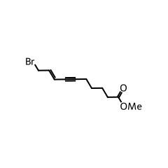 COC(=O)CCCCC#C/C=C/CBr